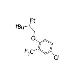 CCC(COc1ccc(Cl)cc1C(F)(F)F)C(C)(C)C